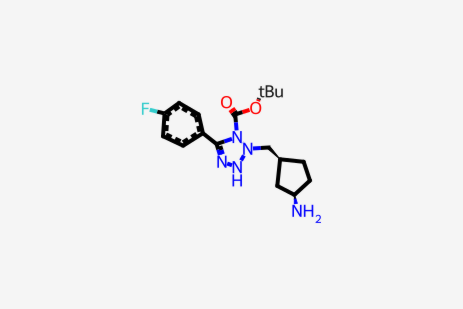 CC(C)(C)OC(=O)N1C(c2ccc(F)cc2)=NNN1C[C@H]1CC[C@@H](N)C1